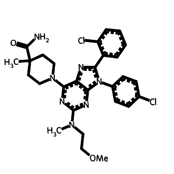 COCCN(C)c1nc(N2CCC(C)(C(N)=O)CC2)c2nc(-c3ccccc3Cl)n(-c3ccc(Cl)cc3)c2n1